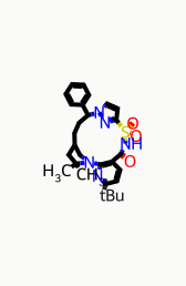 CC(C)(C)c1ccc2c(n1)N1CC(CCC(c3ccccc3)n3ccc(n3)S(=O)(=O)NC2=O)CC1(C)C